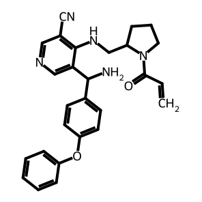 C=CC(=O)N1CCCC1CNc1c(C#N)cncc1C(N)c1ccc(Oc2ccccc2)cc1